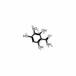 NC(=O)c1c(O)cc(O)c([N+](=O)[O-])c1O